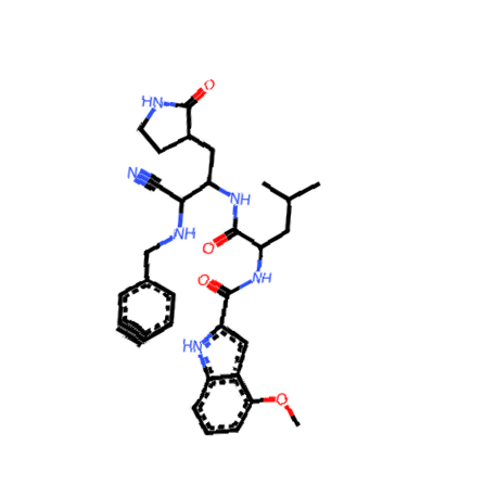 COc1cccc2[nH]c(C(=O)NC(CC(C)C)C(=O)NC(CC3CCNC3=O)C(C#N)NCc3cc#ccc3)cc12